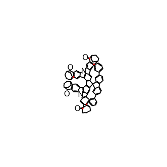 O=C1c2cc3c(cc2C2CCC1CC2)c1cc2c(c4c5cc6c(cc5n3c14)C(=O)C1CCC6CC1)-c1c(cc3c4cc5c(cc4n4c6cc7c(cc6c1c34)C1CCC(CC1)C7=O)C(=O)C1CCC5CC1)C21c2cc(-c3ccccc3)ccc2-c2ccc(-c3ccccc3)cc21